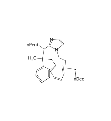 CCCCCCCCCCCCCCn1ccnc1C(CCCCC)C(C)(Cc1ccccc1)c1ccccc1